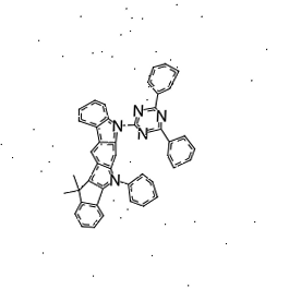 CC1(C)c2ccccc2-c2c1c1cc3c4ccccc4n(-c4nc(-c5ccccc5)nc(-c5ccccc5)n4)c3cc1n2-c1ccccc1